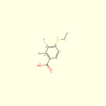 CCSc1ccc(C(=O)O)c(C)c1F